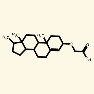 CC1CCC2C3CCC4=CC(OCC(=O)O)CCC4(C)C3CCC12C